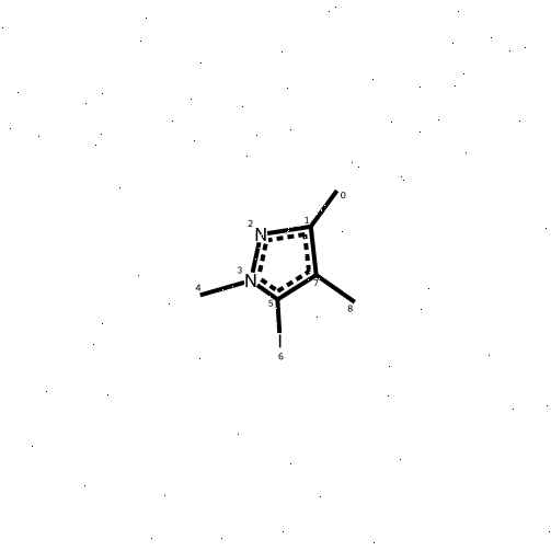 Cc1nn(C)c(I)c1C